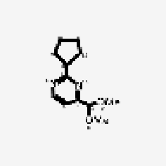 COC(OC)c1ccnc(C2CCCC2)n1